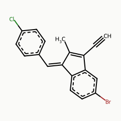 C#CC1=C(C)C(=Cc2ccc(Cl)cc2)c2ccc(Br)cc21